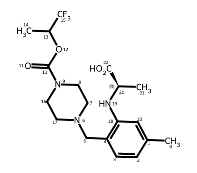 Cc1ccc(CN2CCN(C(=O)OC(C)C(F)(F)F)CC2)c(N[C@H](C)C(=O)O)c1